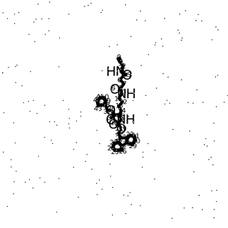 C#CCNC(=O)CCC(=O)NCCCCC(NC(=O)OCC1c2ccccc2-c2ccccc21)C(=O)OCc1ccccc1